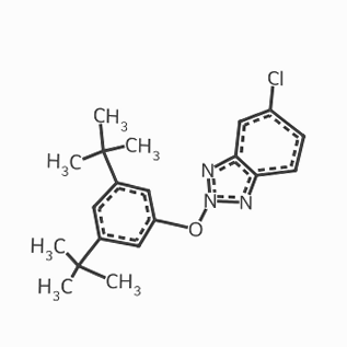 CC(C)(C)c1cc(On2nc3ccc(Cl)cc3n2)cc(C(C)(C)C)c1